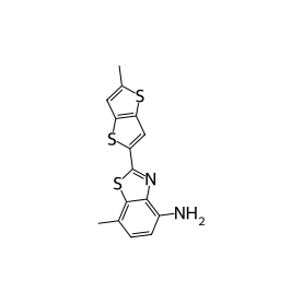 Cc1cc2sc(-c3nc4c(N)ccc(C)c4s3)cc2s1